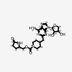 Nc1nc(CC2CCN(C(=O)OCC3CCC(=O)N3)CC2)nc2c1ncn2[C@@H]1OCC(O)C1O